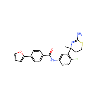 CC1(c2cc(NC(=O)c3ccc(-c4ccco4)cc3)ccc2F)CCSC(N)=N1